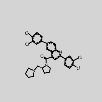 O=C(c1cc(-c2ccc(Cl)c(Cl)c2)nc2ccc(-c3ccc(Cl)c(Cl)c3)cc12)N1CCC[C@H]1CN1CCCC1